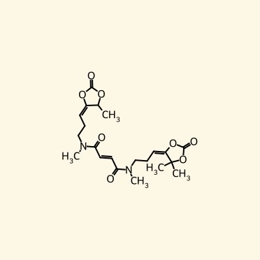 CC1OC(=O)O/C1=C/CCN(C)C(=O)/C=C/C(=O)N(C)CC/C=C1/OC(=O)OC1(C)C